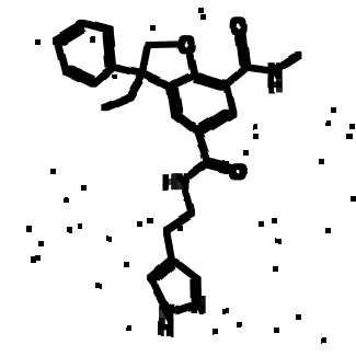 CCC1(c2ccccc2)COc2c(C(=O)NC)cc(C(=O)NCCc3cn[nH]c3)cc21